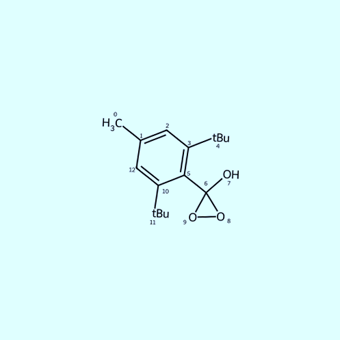 Cc1cc(C(C)(C)C)c(C2(O)OO2)c(C(C)(C)C)c1